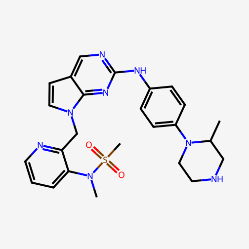 CC1CNCCN1c1ccc(Nc2ncc3ccn(Cc4ncccc4N(C)S(C)(=O)=O)c3n2)cc1